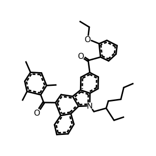 CCCCC(CC)Cn1c2ccc(C(=O)c3ccccc3OCC)cc2c2cc(C(=O)c3c(C)cc(C)cc3C)c3ccccc3c21